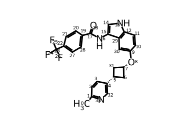 Cc1ccc([C@H]2C[C@@H](Oc3ccc4[nH]cc(NC(=O)c5ccc(C(F)(F)F)cc5)c4c3)C2)cn1